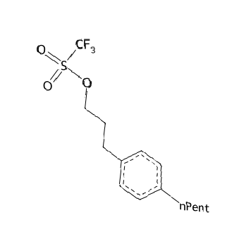 CCCCCc1ccc(CCCOS(=O)(=O)C(F)(F)F)cc1